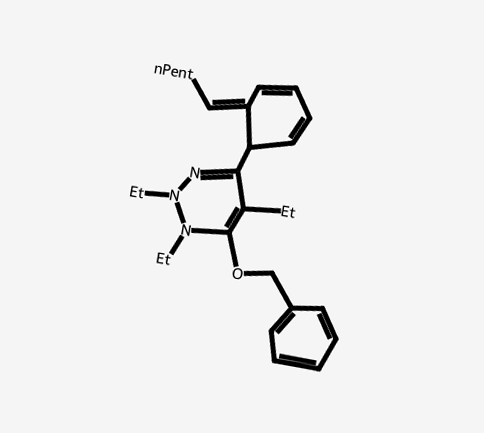 CCCCCC=C1C=CC=CC1C1=NN(CC)N(CC)C(OCc2ccccc2)=C1CC